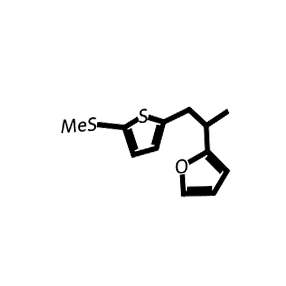 CSc1ccc(CC(C)c2ccco2)s1